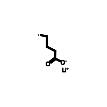 [CH2]CCCC(=O)[O-].[Li+]